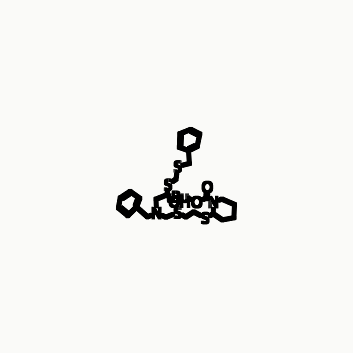 CC(C)(C)OC(=O)N1CCCCC1SCCSCN(Cc1ccccc1)CC(O)SCSCc1ccccc1